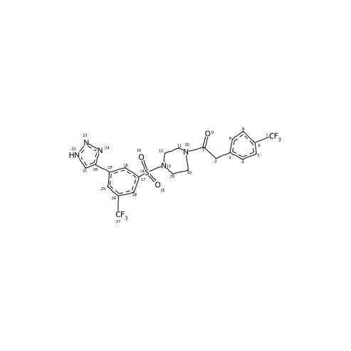 O=C(Cc1ccc(C(F)(F)F)cc1)N1CCN(S(=O)(=O)c2cc(-c3c[nH]nn3)cc(C(F)(F)F)c2)CC1